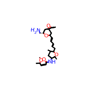 COC(C)/C=C\C(=O)NC1CC(C)C(C/C=C/C=C/C2CC3(C[C@@H](CN)O2)OC3C)OC1C